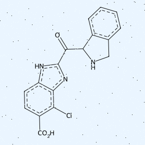 O=C(O)c1ccc2[nH]c(C(=O)C3NCc4ccccc43)nc2c1Cl